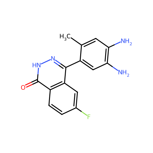 Cc1cc(N)c(N)cc1-c1n[nH]c(=O)c2ccc(F)cc12